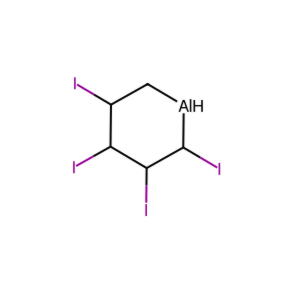 IC1[CH2][AlH][CH](I)C(I)C1I